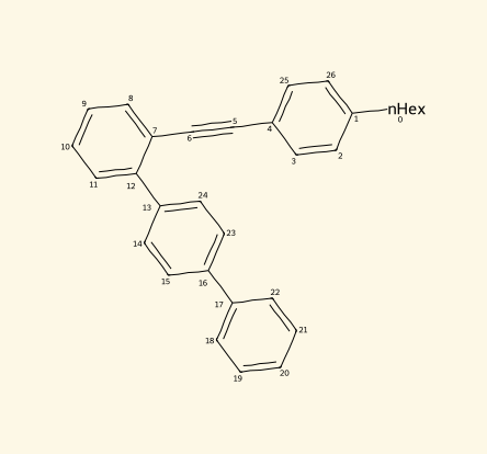 CCCCCCc1ccc(C#Cc2ccccc2-c2ccc(-c3ccccc3)cc2)cc1